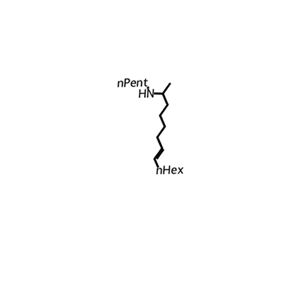 CCCCCCC=CCCCCC(C)NCCCCC